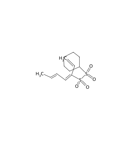 C=C/C(=C\C=C\C)S(=O)(=O)S(=O)(=O)C1CCCCC1